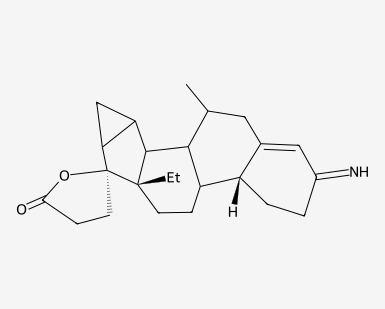 CC[C@]12CCC3C(C(C)CC4=CC(=N)CC[C@@H]43)C1C1CC1[C@@]21CCC(=O)O1